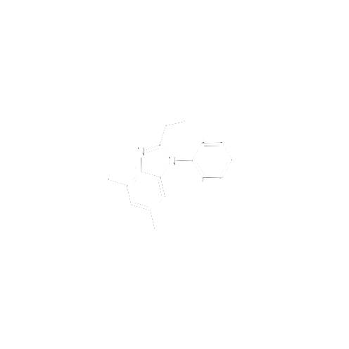 CCc1nc2c(C)cc(C)cc2n1-c1c[c]ccc1